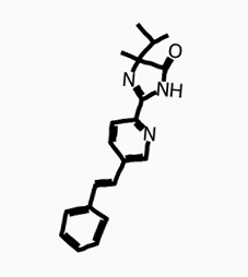 CC(C)C1(C)N=C(c2ccc(C=Cc3ccccc3)cn2)NC1=O